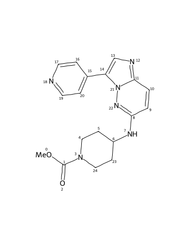 COC(=O)N1CCC(Nc2ccc3ncc(-c4ccncc4)n3n2)CC1